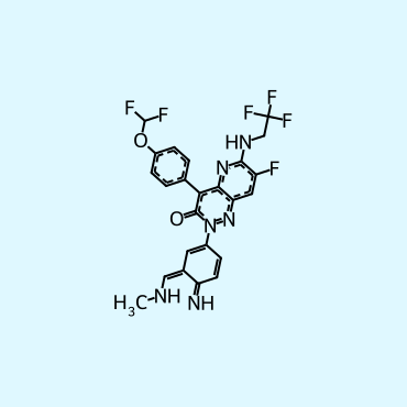 CN/C=C1/C=C(n2nc3cc(F)c(NCC(F)(F)F)nc3c(-c3ccc(OC(F)F)cc3)c2=O)C=CC1=N